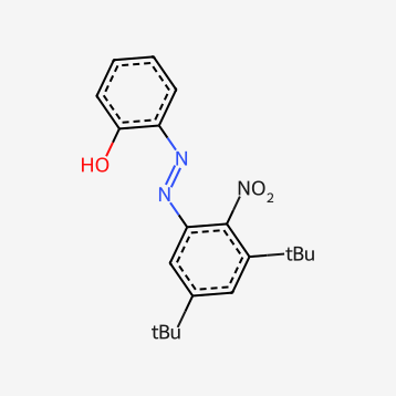 CC(C)(C)c1cc(N=Nc2ccccc2O)c([N+](=O)[O-])c(C(C)(C)C)c1